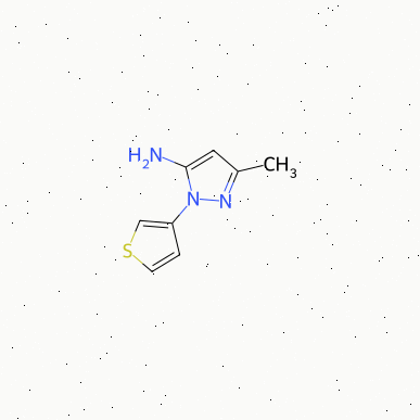 Cc1cc(N)n(-c2ccsc2)n1